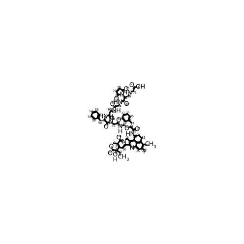 CC[C@@]1(O)C(=O)OCc2c1cc1n(c2=O)Cc2c-1nc1cc(F)c(C)c3c1c2[C@@H](NC(=O)[C@@H](Cc1ccccc1)OCNC(=O)CNC(=O)[C@H](Cc1ccccc1)NC(=O)CNC(=O)CNC(=O)[C@H](CNCC(=O)O)N1C(=O)C=CC1=O)CC3